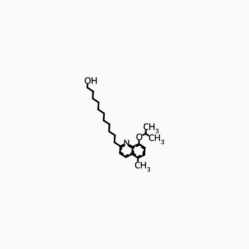 Cc1ccc(OC(C)C)c2nc(CCCCCCCCCCCO)ccc12